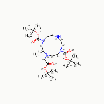 CC1CN(C(=O)OC(C)(C)C)CCNCCN(C(=O)OC(C)(C)C)CCN1CC(=O)OC(C)(C)C